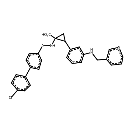 O=C(O)C1(NSc2ccc(-c3ccc(Cl)cc3)cc2)CC1c1cccc(NCc2cccnc2)c1